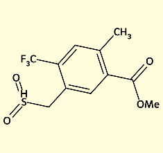 COC(=O)c1cc(C[SH](=O)=O)c(C(F)(F)F)cc1C